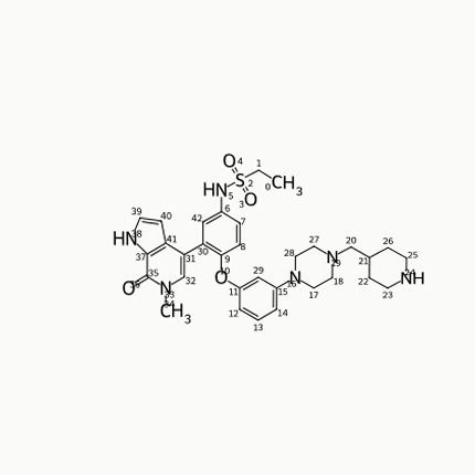 CCS(=O)(=O)Nc1ccc(Oc2cccc(N3CCN(CC4CCNCC4)CC3)c2)c(-c2cn(C)c(=O)c3[nH]ccc23)c1